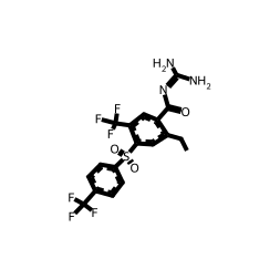 CCc1cc(S(=O)(=O)c2ccc(C(F)(F)F)cc2)c(C(F)(F)F)cc1C(=O)N=C(N)N